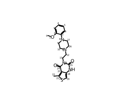 COc1ccccc1N1CCN(CCn2c(=O)[nH]c3csc(C)c3c2=O)CC1